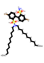 CCCCCCCCCCCCCCCCCCCCN(CCCCCCCCCCCCCCCCCCCC)S(=O)(=O)c1cc(Br)ccc1-c1ccc(Br)cc1S(N)(=O)=O